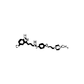 CN1CCN(CCCOc2ccc(SNCCCc3n[nH]c4ccc(Cl)cc34)cc2)CC1